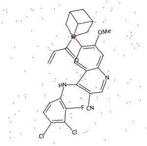 C=CC(=O)N1CC2CC(C1)C2Oc1cc2c(Nc3ccc(Cl)c(Cl)c3F)c(C#N)cnc2cc1OC